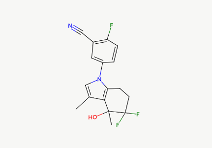 Cc1cn(-c2ccc(F)c(C#N)c2)c2c1C(C)(O)C(F)(F)CC2